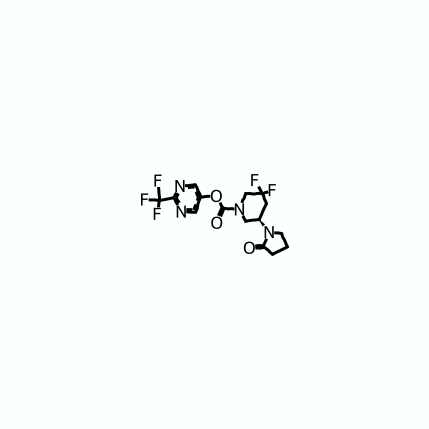 O=C(Oc1cnc(C(F)(F)F)nc1)N1C[C@H](N2CCCC2=O)CC(F)(F)C1